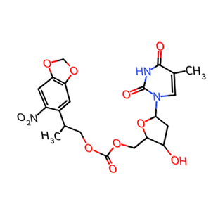 Cc1cn(C2CC(O)C(COC(=O)OCC(C)c3cc4c(cc3[N+](=O)[O-])OCO4)O2)c(=O)[nH]c1=O